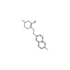 Cc1ccc2cc(CCC3=C(F)CC(C)CC3)ccc2c1